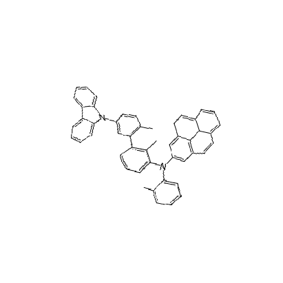 Cc1ccc(-n2c3ccccc3c3ccccc32)cc1-c1cccc(N(c2cc3c4c(c2)CC=C2C=CC=C(C=C3)C24)c2ccccc2C)c1C